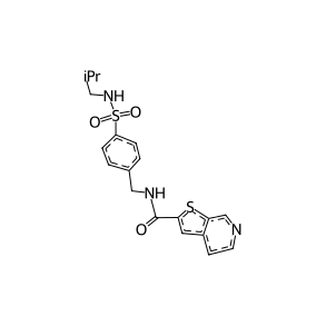 CC(C)CNS(=O)(=O)c1ccc(CNC(=O)c2cc3ccncc3s2)cc1